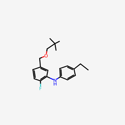 CCc1ccc(Nc2cc(COCC(C)(C)C)ccc2F)cc1